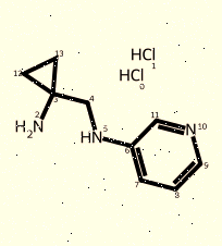 Cl.Cl.NC1(CNc2cccnc2)CC1